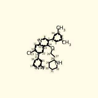 Cc1cc(C)cc(-c2cnc3cc(Cl)c(-c4ccnc(F)c4)cc3c2OCC[C@H]2CCCCN2)c1